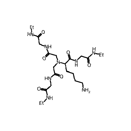 CCNC(=O)CNC(=O)CN(CC(=O)NCC(=O)NCC)C(CCCCN)C(=O)NCC(=O)NCC